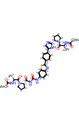 COC(=O)N[C@H](C(=O)N1CCC[C@H]1C(=O)NC(=O)Nc1ccc2nc(-c3ccc(-c4cnc([C@@H]5CCCN5C(=O)[C@@H](NC(=O)OC)C(C)C)[nH]4)cc3)sc2c1)C(C)C